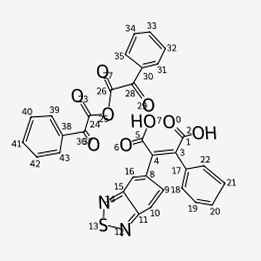 O=C(O)/C(=C(\C(=O)O)c1ccc2nsnc2c1)c1ccccc1.O=C(OC(=O)C(=O)c1ccccc1)C(=O)c1ccccc1